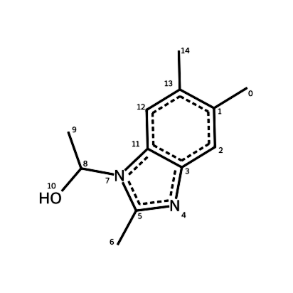 Cc1cc2nc(C)n(C(C)O)c2cc1C